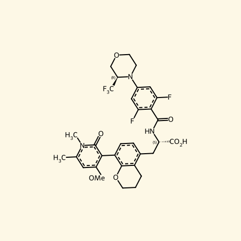 COc1cc(C)n(C)c(=O)c1-c1ccc(C[C@H](NC(=O)c2c(F)cc(N3CCOC[C@@H]3C(F)(F)F)cc2F)C(=O)O)c2c1OCCC2